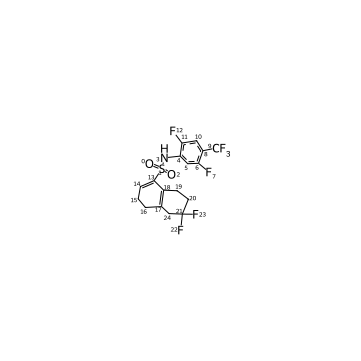 O=S(=O)(Nc1cc(F)c(C(F)(F)F)cc1F)C1=CCCC2=C1CCC(F)(F)C2